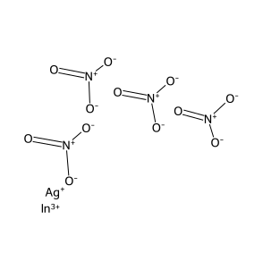 O=[N+]([O-])[O-].O=[N+]([O-])[O-].O=[N+]([O-])[O-].O=[N+]([O-])[O-].[Ag+].[In+3]